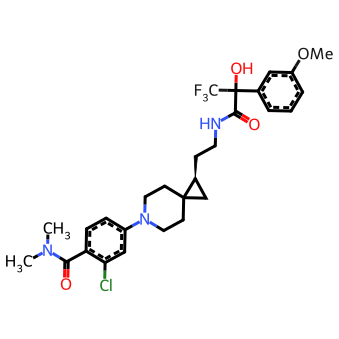 COc1cccc(C(O)(C(=O)NCC[C@H]2CC23CCN(c2ccc(C(=O)N(C)C)c(Cl)c2)CC3)C(F)(F)F)c1